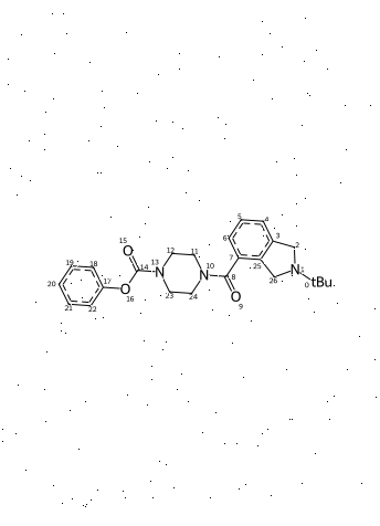 CC(C)(C)N1Cc2cccc(C(=O)N3CCN(C(=O)Oc4ccccc4)CC3)c2C1